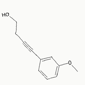 COc1cccc(C#CCCO)c1